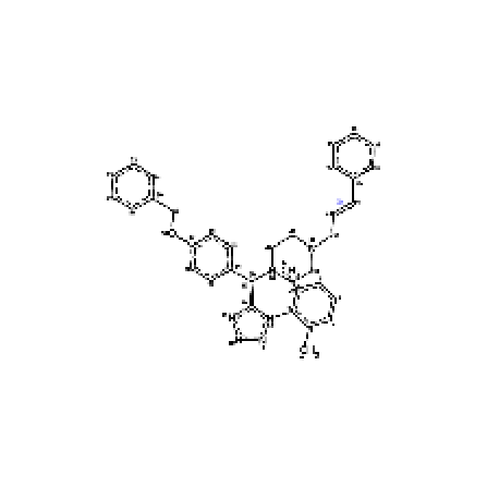 Cc1cccc(C)c1-n1nnnc1[C@@H](c1ccc(OCc2ccccc2)cc1)N1CCN(C/C=C/c2ccccc2)CC1